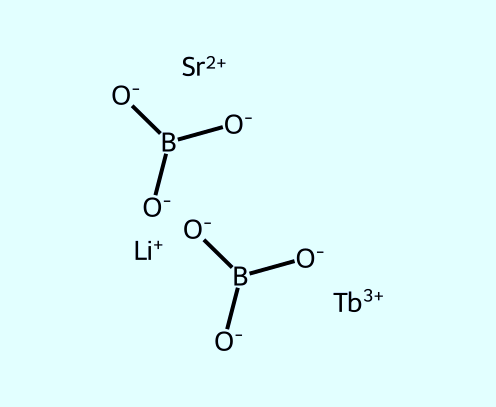 [Li+].[O-]B([O-])[O-].[O-]B([O-])[O-].[Sr+2].[Tb+3]